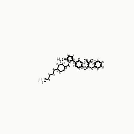 CCCCCC1CCC(Cn2c(C)ccc2-c2ccc(O[C@H](Cc3ccccc3)C(=O)O)cc2)CC1